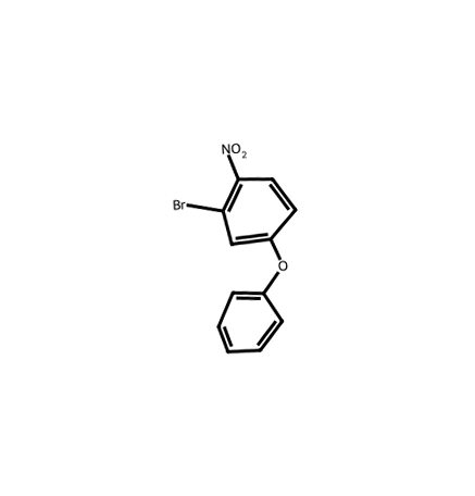 O=[N+]([O-])c1ccc(Oc2ccccc2)cc1Br